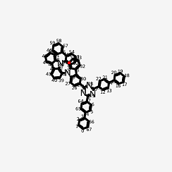 c1ccc(-c2ccc(-c3nc(-c4ccc(-c5ccccc5)cc4)nc(-c4ccc5c(c4)c4ccccc4n5-c4cccc5c6ccccc6n(-c6ccccc6-c6ccccc6)c45)n3)cc2)cc1